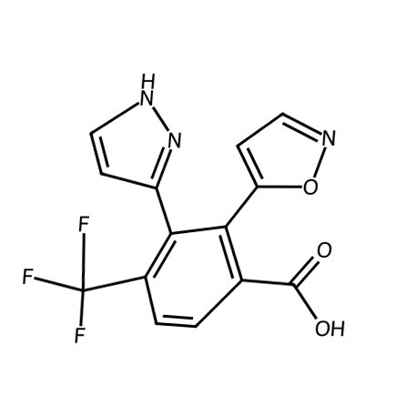 O=C(O)c1ccc(C(F)(F)F)c(-c2cc[nH]n2)c1-c1ccno1